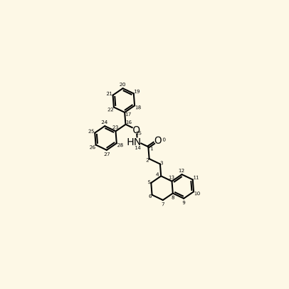 O=C(CCC1CCCc2ccccc21)NOC(c1ccccc1)c1ccccc1